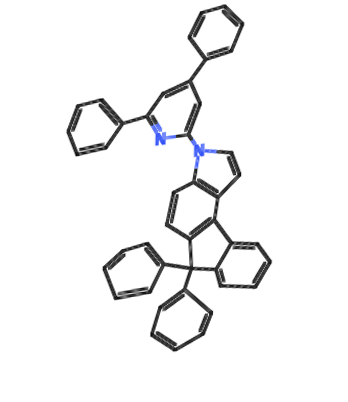 c1ccc(-c2cc(-c3ccccc3)nc(-n3ccc4c5c(ccc43)C(c3ccccc3)(c3ccccc3)c3ccccc3-5)c2)cc1